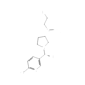 O=C(O)N(CCF)[C@H]1CCN([C@H](c2ccc(Cl)nc2)C(F)(F)F)C1